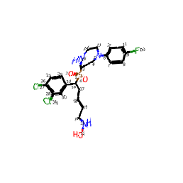 O=S(=O)(C1CN(c2ccc(F)cc2)CCN1)C(CCCCNO)c1ccc(Cl)c(Cl)c1